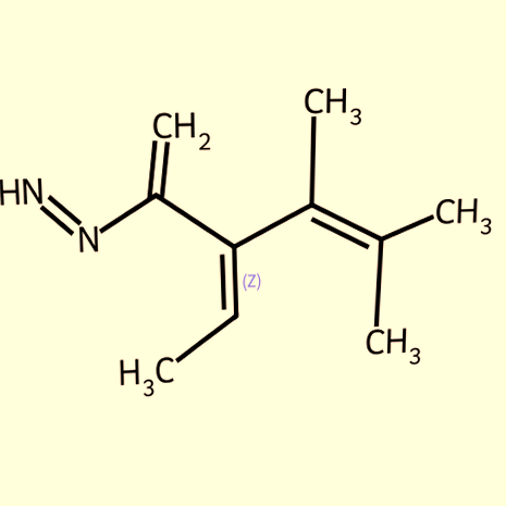 C=C(N=N)/C(=C\C)C(C)=C(C)C